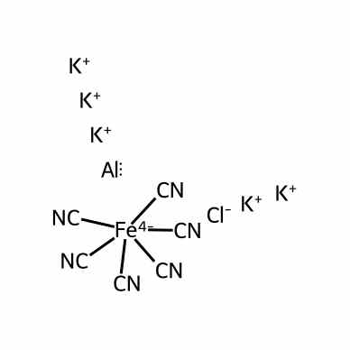 N#[C][Fe-4]([C]#N)([C]#N)([C]#N)([C]#N)[C]#N.[Al].[Cl-].[K+].[K+].[K+].[K+].[K+]